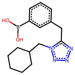 OB(O)c1cccc(Cc2nnnn2CC2CCCCC2)c1